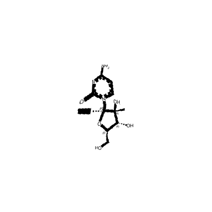 C#C[C@@]1(n2ccc(N)nc2=O)O[C@H](CO)[C@@H](O)[C@@]1(C)O